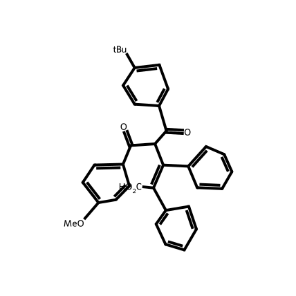 COc1ccc(C(=O)C(C(=O)c2ccc(C(C)(C)C)cc2)C(=C(C(=O)O)c2ccccc2)c2ccccc2)cc1